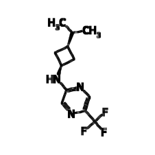 CC(C)[C@H]1C[C@@H](Nc2cnc(C(F)(F)F)cn2)C1